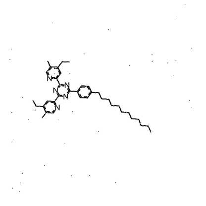 CCCCCCCCCCCCc1ccc(-c2nc(-c3cc(CC)c(C)cn3)nc(-c3cc(CC)c(C)cn3)n2)cc1